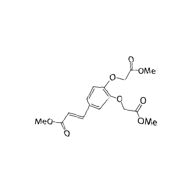 COC(=O)C=Cc1ccc(OCC(=O)OC)c(OCC(=O)OC)c1